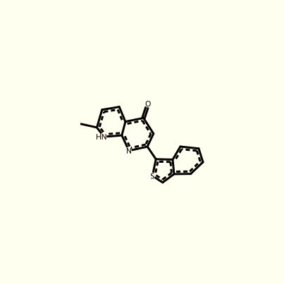 Cc1ccc2c(=O)cc(-c3scc4ccccc34)nc-2[nH]1